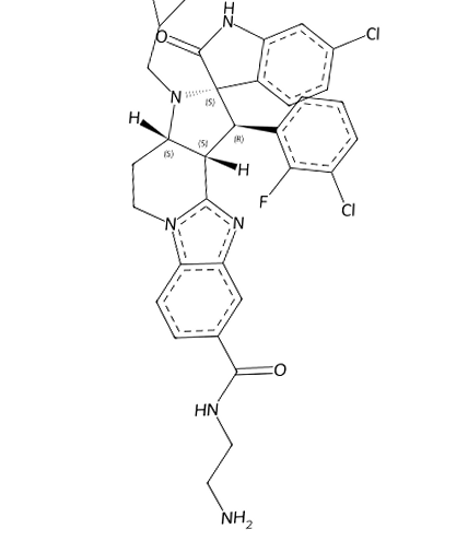 NCCNC(=O)c1ccc2c(c1)nc1n2CC[C@H]2[C@@H]1[C@H](c1cccc(Cl)c1F)[C@]1(C(=O)Nc3cc(Cl)ccc31)N2CC1CC1